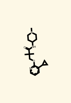 CN1CCC(NC(=O)C(C)(C)COc2ncccc2C2CC2)CC1